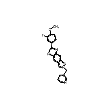 COc1ccc(-c2cnc3cc4cn(Cc5cccnc5)nc4cc3n2)cc1F